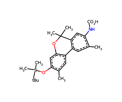 Cc1cc2c(cc1NC(=O)O)C(C)(C)Oc1cc(O[Si](C)(C)C(C)(C)C)c(C)cc1-2